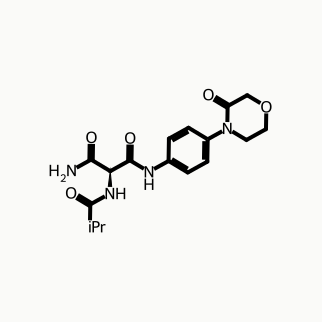 CC(C)C(=O)N[C@@H](C(N)=O)C(=O)Nc1ccc(N2CCOCC2=O)cc1